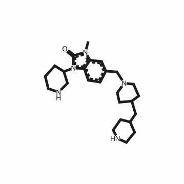 Cn1c(=O)n(C2CCCNC2)c2ccc(CN3CCC(CC4CCNCC4)CC3)cc21